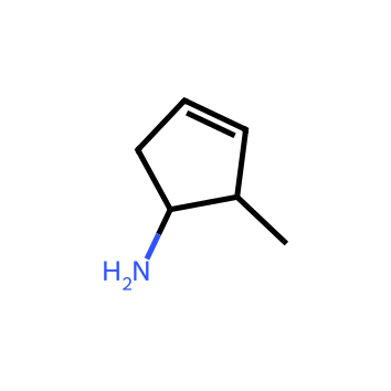 CC1C=CCC1N